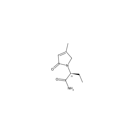 CC[C@@H](C(N)=O)N1CC(C)=CC1=O